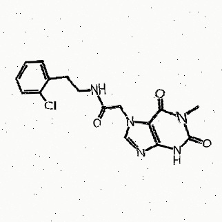 Cn1c(=O)[nH]c2ncn(CC(=O)NCCc3ccccc3Cl)c2c1=O